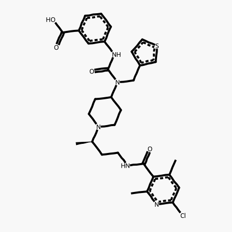 Cc1cc(Cl)nc(C)c1C(=O)NCC[C@@H](C)N1CCC(N(Cc2ccsc2)C(=O)Nc2cccc(C(=O)O)c2)CC1